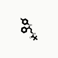 CC(C)(C)C(=O)NCCC(Nc1ccc(I)cc1)c1ccccc1